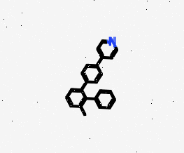 Cc1cccc(-c2ccc(-c3ccncc3)cc2)c1-c1ccccc1